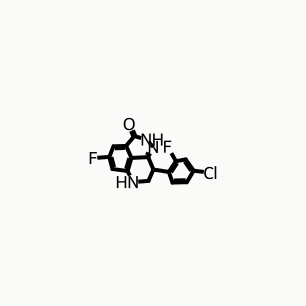 O=c1[nH]nc2c3c(cc(F)cc13)NCC2c1ccc(Cl)cc1F